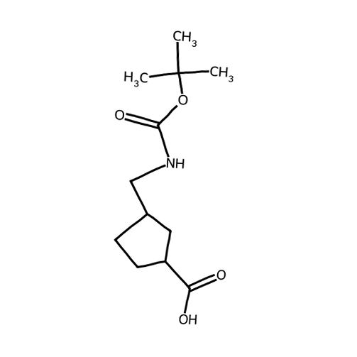 CC(C)(C)OC(=O)NCC1CCC(C(=O)O)C1